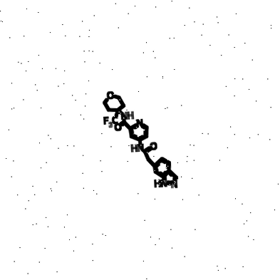 O=C(Cc1ccc2cn[nH]c2c1)Nc1ccnc(C(=O)NC2(C(F)(F)F)CCOCC2)c1